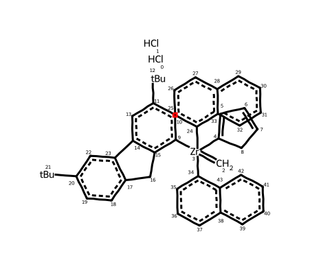 Cl.Cl.[CH2]=[Zr]([C]1=CC=CC1)([c]1cc(C(C)(C)C)cc2c1Cc1ccc(C(C)(C)C)cc1-2)([c]1cccc2ccccc12)[c]1cccc2ccccc12